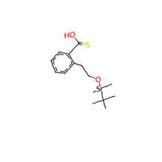 CC(C)(C)[Si](C)(C)OCCc1ccccc1C(O)=S